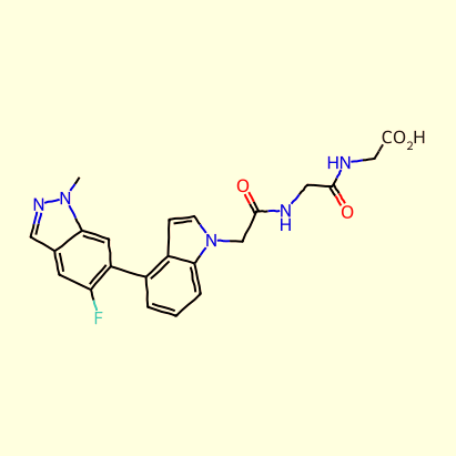 Cn1ncc2cc(F)c(-c3cccc4c3ccn4CC(=O)NCC(=O)NCC(=O)O)cc21